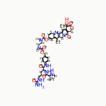 CCc1c2c(nc3ccc(OC(=O)N(C)CCN(C)C(=O)OCc4ccc(NC(=O)[C@H](CCCNC(N)=O)NC(=O)[C@@H](NI)C(C)C)cc4)cc13)-c1cc3c(c(=O)n1C2)COC(=O)[C@]3(O)CC